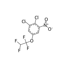 O=[N+]([O-])c1cc(OC(F)(F)C(F)F)cc(Cl)c1Cl